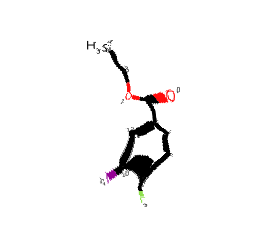 O=C(OC[SiH3])c1ccc(F)c(I)c1